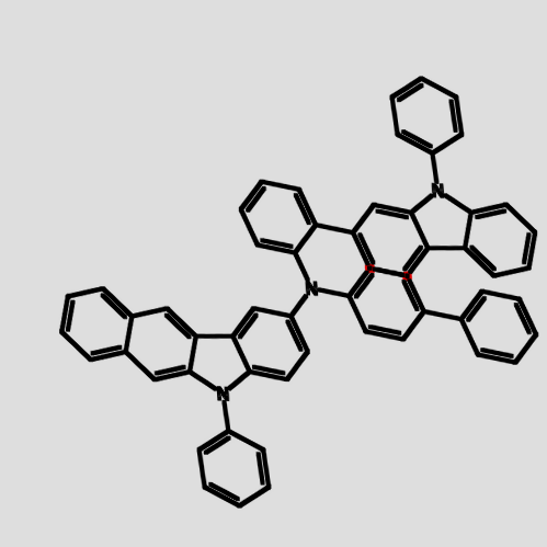 c1ccc(-c2ccc(N(c3ccc4c(c3)c3cc5ccccc5cc3n4-c3ccccc3)c3ccccc3-c3ccc4c5ccccc5n(-c5ccccc5)c4c3)cc2)cc1